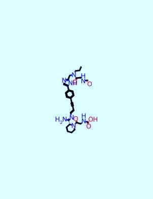 CCCN(Cc1ncc(-c2ccc(C#C/C=C/N=C(\N)[C@H]3CCCCN3C(=O)CNC(=O)O)cc2)[nH]1)C(=O)CNC=O